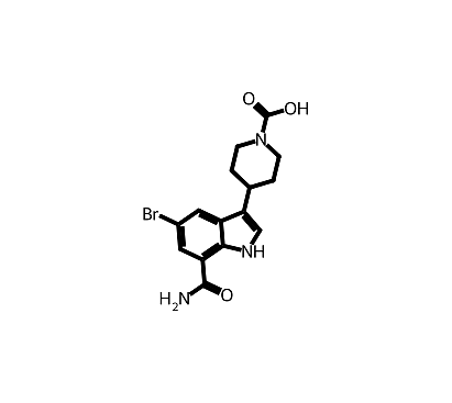 NC(=O)c1cc(Br)cc2c(C3CCN(C(=O)O)CC3)c[nH]c12